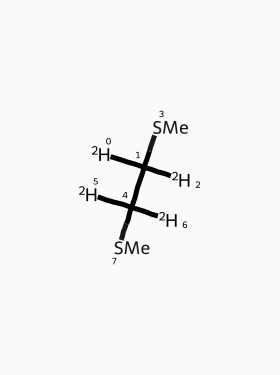 [2H]C([2H])(SC)C([2H])([2H])SC